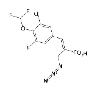 [N-]=[N+]=NC/C(=C\c1cc(F)c(OC(F)F)c(Cl)c1)C(=O)O